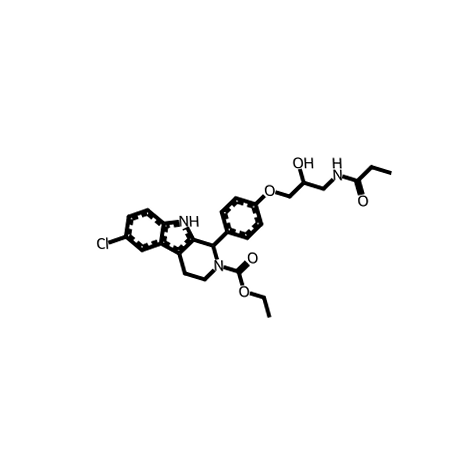 CCOC(=O)N1CCc2c([nH]c3ccc(Cl)cc23)C1c1ccc(OCC(O)CNC(=O)CC)cc1